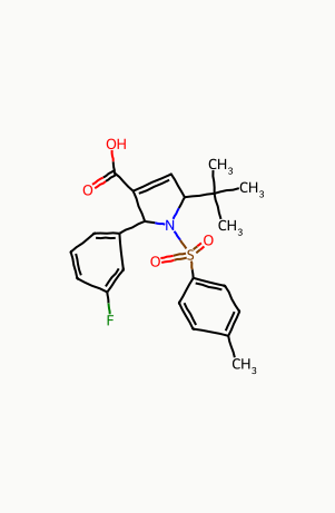 Cc1ccc(S(=O)(=O)N2C(c3cccc(F)c3)C(C(=O)O)=CC2C(C)(C)C)cc1